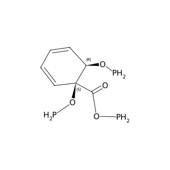 O=C(OP)[C@]1(OP)C=CC=C[C@H]1OP